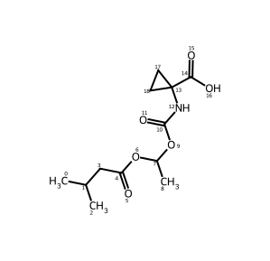 CC(C)CC(=O)OC(C)OC(=O)NC1(C(=O)O)CC1